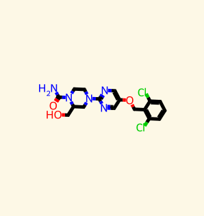 NC(=O)N1CCN(c2ncc(OCc3c(Cl)cccc3Cl)cn2)CC1CO